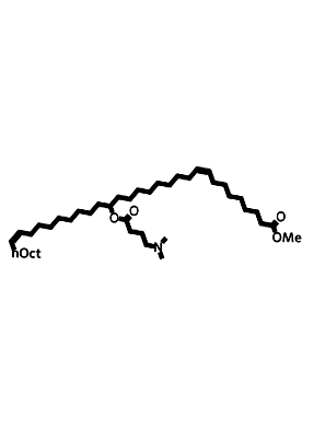 CCCCCCCC/C=C\CCCCCCCCC(CCCCCCCC/C=C\CCCCCCCC(=O)OC)OC(=O)CCCN(C)C